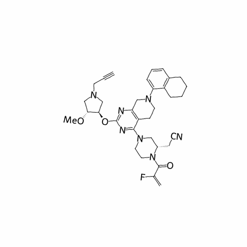 C#CCN1C[C@@H](OC)[C@H](Oc2nc3c(c(N4CCN(C(=O)C(=C)F)[C@@H](CC#N)C4)n2)CCN(c2cccc4c2CCCC4)C3)C1